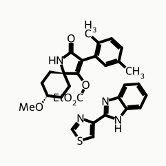 CCOC(=O)OC1=C(c2cc(C)ccc2C)C(=O)N[C@]12CC[C@@H](OC)CC2.c1ccc2[nH]c(-c3cscn3)nc2c1